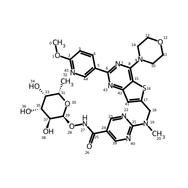 COc1ccc(-c2nc(N3CCOCC3)c3sc(CN(C)c4ncc(C(=O)NO[C@@H]5O[C@@H](C)[C@@H](O)[C@@H](O)[C@@H]5O)cn4)cc3n2)cn1